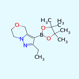 CCc1nn2c(c1B1OC(C)(C)C(C)(C)O1)COCC2